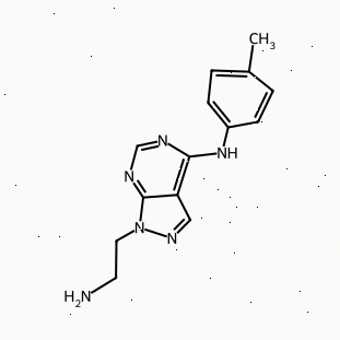 Cc1ccc(Nc2ncnc3c2cnn3CCN)cc1